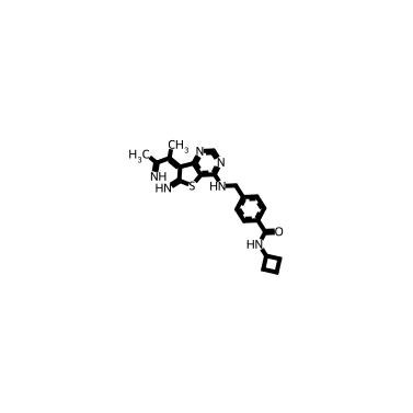 CC(=N)/C(C)=C1\C(=N)Sc2c(NCc3ccc(C(=O)NC4CCC4)cc3)ncnc21